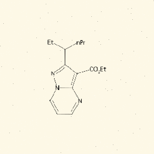 CCCC(CC)c1nn2cccnc2c1C(=O)OCC